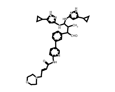 CC(C(Nc1cc(C2CC2)[nH]n1)Nc1cc(C2CC2)[nH]n1)C(C=O)c1cccc(-c2ccc(NC(=O)/C=C/CN3CCOCC3)nc2)c1